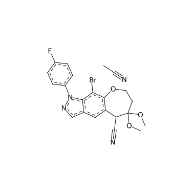 CC#N.COC1(OC)CCOc2c(cc3cnn(-c4ccc(F)cc4)c3c2Br)C1C#N